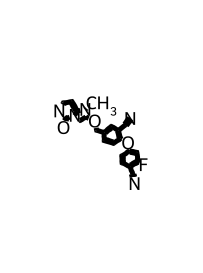 CN1c2ccnc(=O)n2CC1OCc1ccc(Oc2ccc(C#N)c(F)c2)c(C#N)c1